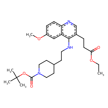 CCOC(=O)CCc1cnc2ccc(OC)cc2c1NCCC1CCN(C(=O)OC(C)(C)C)CC1